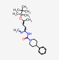 C=N/C(=C\C=C(/C)O[Si](C)(C)C(C)(C)C)NC(=O)N1CCC(c2ccccc2)CC1